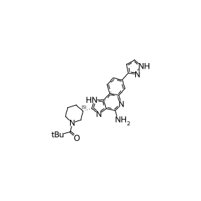 CC(C)(C)C(=O)N1CCC[C@H](c2nc3c(N)nc4cc(-c5cc[nH]n5)ccc4c3[nH]2)C1